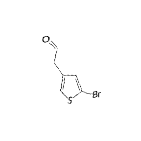 O=CCc1csc(Br)c1